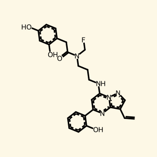 C=Cc1cnn2c(NCCCN(CF)C(=O)Cc3ccc(O)cc3O)cc(-c3ccccc3O)nc12